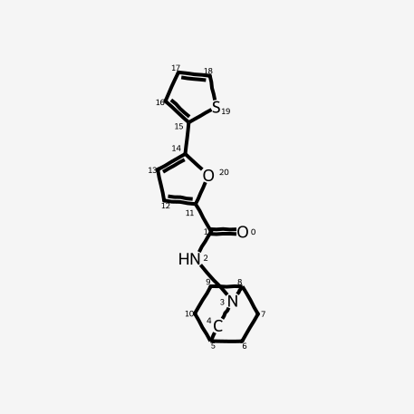 O=C(NN1CC2CCC1CC2)c1ccc(-c2cccs2)o1